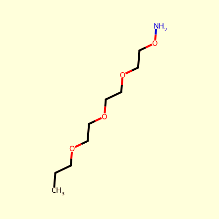 CCCOCCOCCOCCON